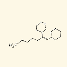 CCCCCC(=CC1CCCCC1)C1CCCCC1